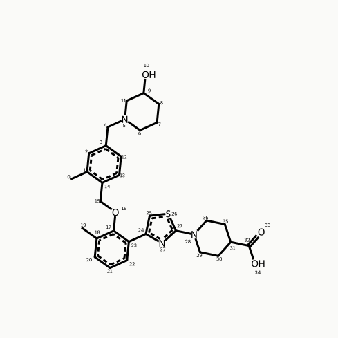 Cc1cc(CN2CCCC(O)C2)ccc1COc1c(C)cccc1-c1csc(N2CCC(C(=O)O)CC2)n1